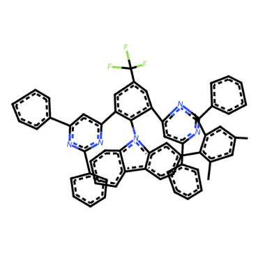 Cc1cc(C)c(-c2ccc3c4ccccc4n(-c4c(-c5cc(-c6ccccc6)nc(-c6ccccc6)n5)cc(C(F)(F)F)cc4-c4cc(-c5ccccc5)nc(-c5ccccc5)n4)c3c2)c(C)c1